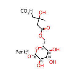 CCC[C@@H](C)O[C@@H]1O[C@H](COC(=O)CC(C)(O)CC(=O)O)[C@@H](O)[C@H](O)[C@H]1O